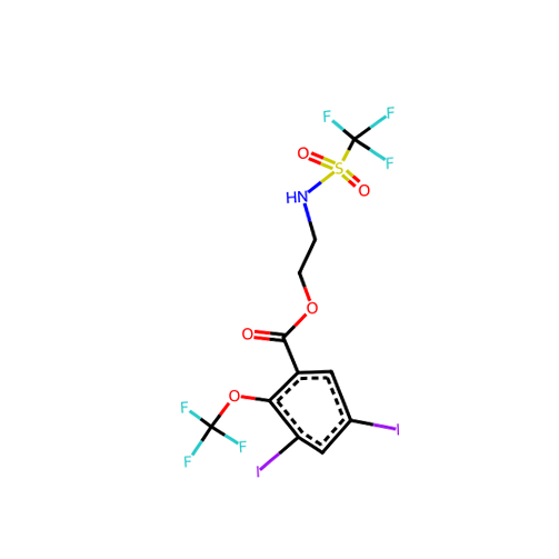 O=C(OCCNS(=O)(=O)C(F)(F)F)c1cc(I)cc(I)c1OC(F)(F)F